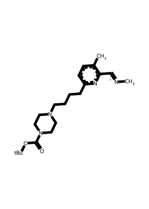 C/N=C/c1nc(CCCCN2CCN(C(=O)OC(C)(C)C)CC2)ccc1C